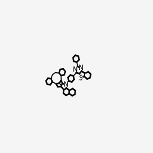 Cc1c2cc3c4ccc5ccccc5c4n(-c4ccc(-c5nc(-c6ccccc6)nc6c5sc5ccccc56)cc4)c3c1-c1ccccc1CCc1ccccc1-2